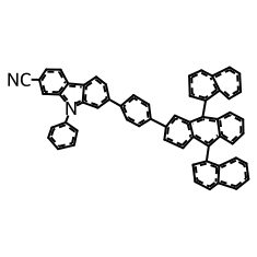 N#Cc1ccc2c3ccc(-c4ccc(-c5ccc6c(-c7cccc8ccccc78)c7ccccc7c(-c7cccc8ccccc78)c6c5)cc4)cc3n(-c3ccccc3)c2c1